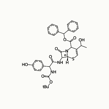 CC(O)C1=CS[C@@H]2C(NC(=O)C(NC(=O)OC(C)(C)C)c3ccc(O)cc3)C(=O)N2C1C(=O)OC(c1ccccc1)c1ccccc1